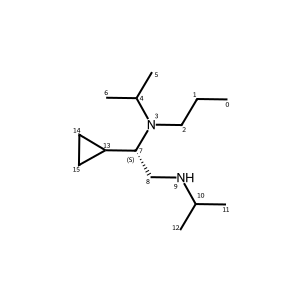 CCCN(C(C)C)[C@H](CNC(C)C)C1CC1